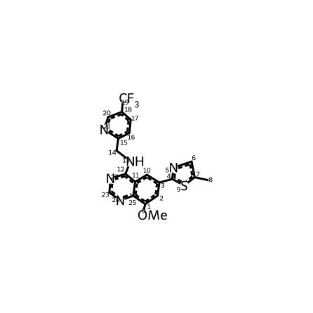 COc1cc(-c2ncc(C)s2)cc2c(NCc3ccc(C(F)(F)F)cn3)ncnc12